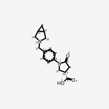 O=C(O)[C@H]1CC(=O)N(c2ccc(CN3CC4CC4C3)cc2)C1